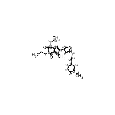 CCCn1c(=O)c2c(nc(-c3cnn(CC#Cc4cccc(OC)c4)c3)n2C)n(CCC)c1=O